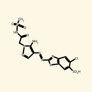 CS(=O)(=O)NC(=O)Cn1ncc(N=Nc2nc3cc(Cl)c(S(=O)(=O)O)cc3s2)c1N